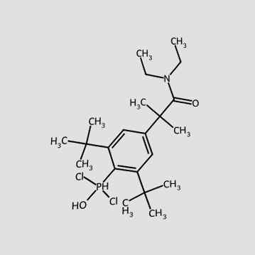 CCN(CC)C(=O)C(C)(C)c1cc(C(C)(C)C)c([PH](O)(Cl)Cl)c(C(C)(C)C)c1